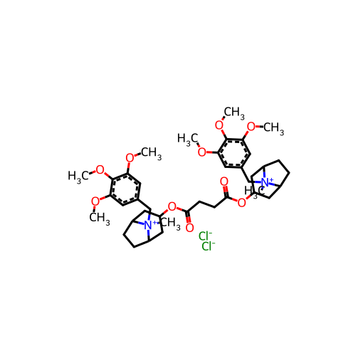 COc1cc(C[N+]2(C)C3CCC2CC(OC(=O)CCC(=O)OC2CC4CCC(C2)[N+]4(C)Cc2cc(OC)c(OC)c(OC)c2)C3)cc(OC)c1OC.[Cl-].[Cl-]